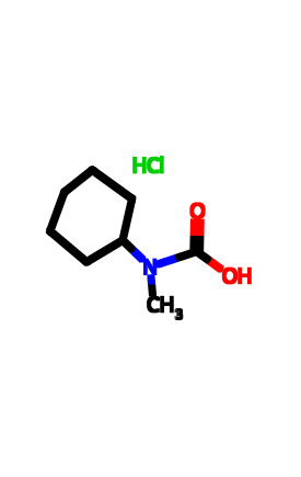 CN(C(=O)O)C1CCCCC1.Cl